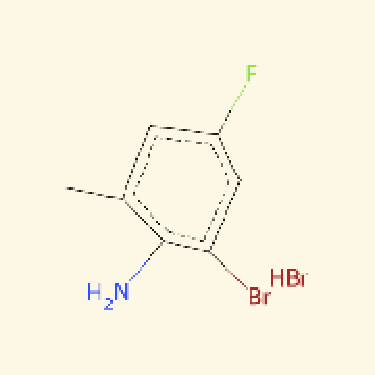 Br.Cc1cc(F)cc(Br)c1N